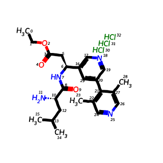 CCOC(=O)C[C@H](NC(=O)[C@@H](N)CC(C)C)c1cncc(-c2c(C)cncc2C)c1.Cl.Cl.Cl